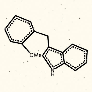 COc1ccccc1Cc1c[nH]c2ccccc12